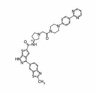 Cc1nc2ccc(-c3n[nH]c4sc(C(=O)N[C@H]5CCN(CC(=O)N6CCN(c7ccc(-c8ncccn8)cc7)CC6)C5)cc34)cc2s1